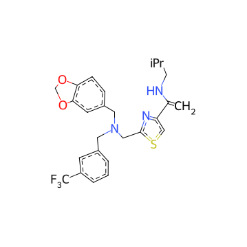 C=C(NCC(C)C)c1csc(CN(Cc2cccc(C(F)(F)F)c2)Cc2ccc3c(c2)OCO3)n1